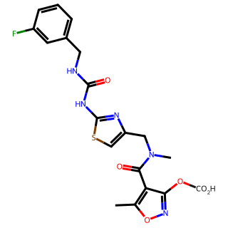 Cc1onc(OC(=O)O)c1C(=O)N(C)Cc1csc(NC(=O)NCc2cccc(F)c2)n1